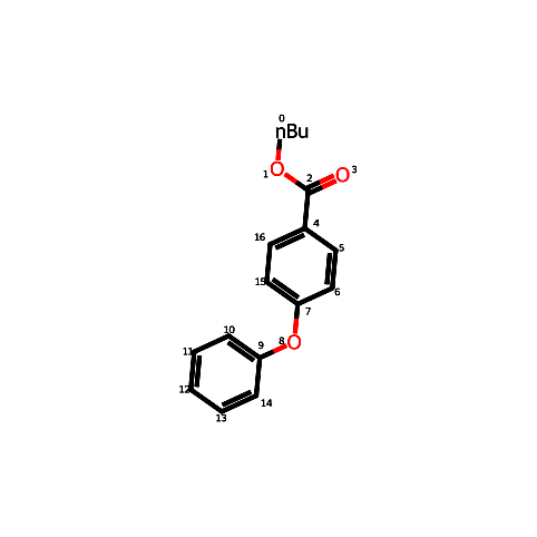 CCCCOC(=O)c1ccc(Oc2ccccc2)cc1